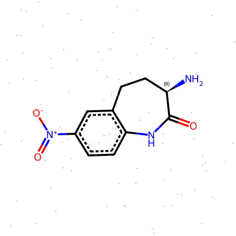 N[C@@H]1CCc2cc([N+](=O)[O-])ccc2NC1=O